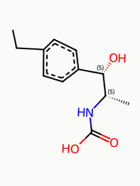 CCc1ccc([C@H](O)[C@H](C)NC(=O)O)cc1